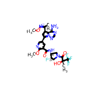 CO/N=C(/C)c1cc(-c2cnc(OC)c(C(=O)N[C@@H]3CN(C(=O)[C@@](C)(O)C(F)(F)F)C[C@@H]3F)c2)n2ncnc(N)c12